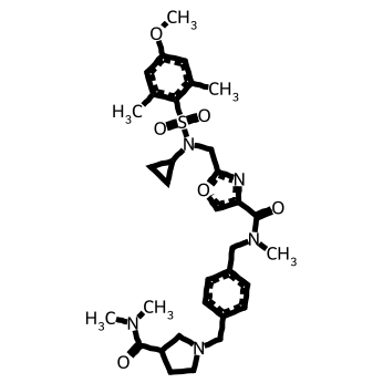 COc1cc(C)c(S(=O)(=O)N(Cc2nc(C(=O)N(C)Cc3ccc(CN4CCC(C(=O)N(C)C)C4)cc3)co2)C2CC2)c(C)c1